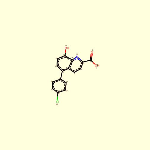 O=C(O)c1ccc2c(-c3ccc(Cl)cc3)ccc(O)c2n1